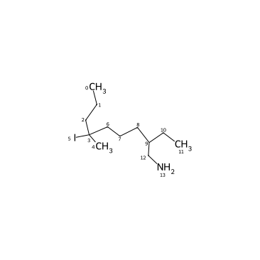 CCCC(C)(I)CCCC(CC)CN